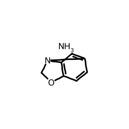 N.c1cc2c3cc1N3CO2